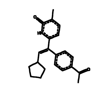 CC(=O)c1ccc(/C(=C\C2CCCC2)c2ccc(C)c(=O)[nH]2)cc1